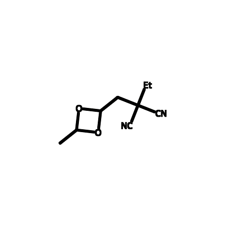 CCC(C#N)(C#N)CC1OC(C)O1